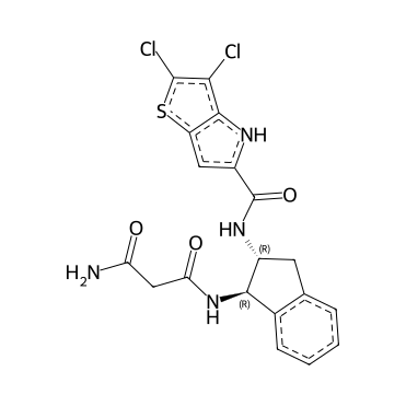 NC(=O)CC(=O)N[C@@H]1c2ccccc2C[C@H]1NC(=O)c1cc2sc(Cl)c(Cl)c2[nH]1